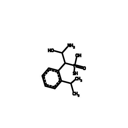 CC(C)c1ccccc1C(C(N)O)P(=O)(O)S